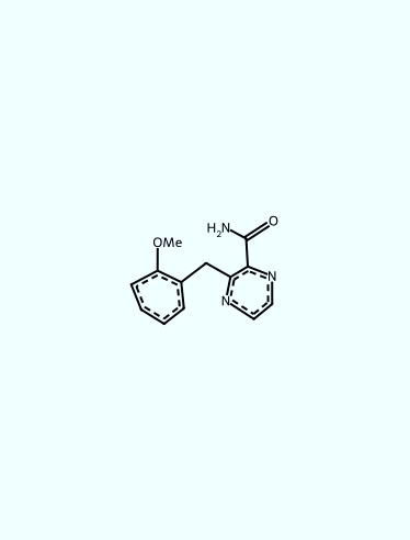 COc1ccccc1Cc1nccnc1C(N)=O